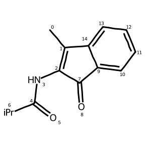 CC1=C(NC(=O)C(C)C)C(=O)c2ccccc21